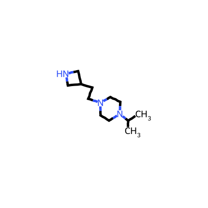 CC(C)N1CCN(CCC2CNC2)CC1